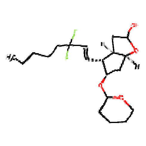 CCCCCC(F)(F)C=C[C@@H]1[C@H]2CC(O)O[C@H]2C[C@H]1OC1CCCCO1